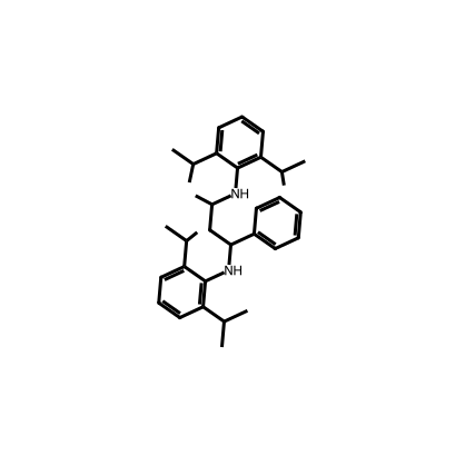 CC(CC(Nc1c(C(C)C)cccc1C(C)C)c1ccccc1)Nc1c(C(C)C)cccc1C(C)C